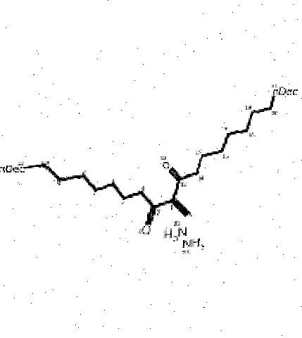 C=C(C(=O)CCCCCCCCCCCCCCCCC)C(=O)CCCCCCCCCCCCCCCCC.N.N